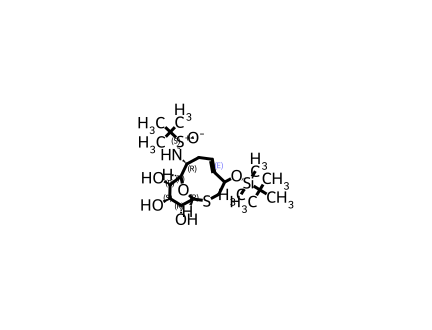 CC(C)(C)[S@@+]([O-])N[C@@H]1C/C=C/C(O[Si](C)(C)C(C)(C)C)CS[C@H]2O[C@H]1[C@H](O)[C@H](O)[C@H]2O